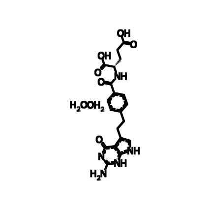 Nc1nc(=O)c2c(CCc3ccc(C(=O)N[C@@H](CCC(=O)O)C(=O)O)cc3)c[nH]c2[nH]1.O.O